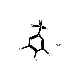 CC(C)c1c(Cl)cc(S(=O)(=O)[O-])cc1Cl.[Na+]